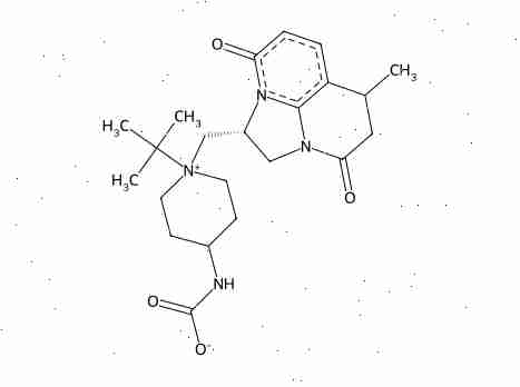 CC1CC(=O)N2C[C@H](C[N+]3(C(C)(C)C)CCC(NC(=O)[O-])CC3)n3c2c1ccc3=O